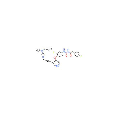 CN(C(=O)O)C1CN(CC#Cc2cnccc2Oc2ccc(NC(=O)NC(=O)Cc3ccc(F)cc3)cc2F)C1